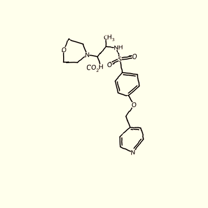 CC(NS(=O)(=O)c1ccc(OCc2ccncc2)cc1)C(C(=O)O)N1CCOCC1